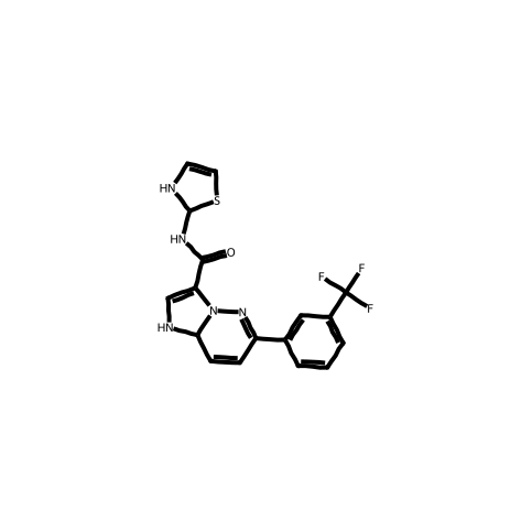 O=C(NC1NC=CS1)C1=CNC2C=CC(c3cccc(C(F)(F)F)c3)=NN12